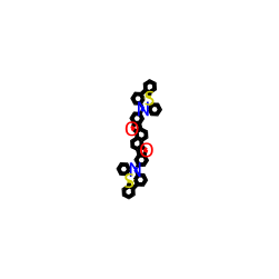 c1ccc(N(c2ccc3oc4c(ccc5c4ccc4c6cc(N(c7ccccc7)c7cccc8c7sc7ccccc78)ccc6oc45)c3c2)c2cccc3c2sc2ccccc23)cc1